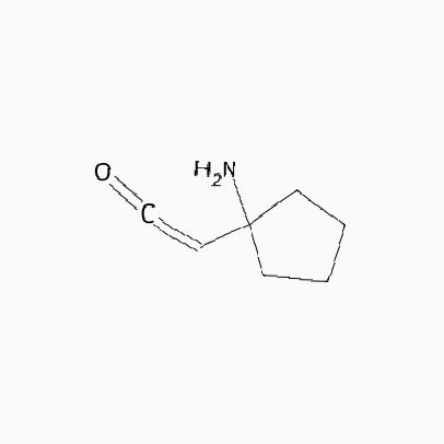 NC1(C=C=O)CCCC1